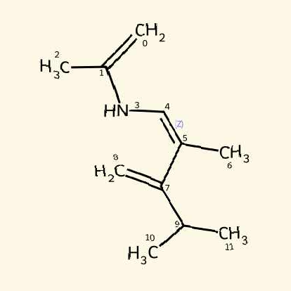 C=C(C)N/C=C(/C)C(=C)C(C)C